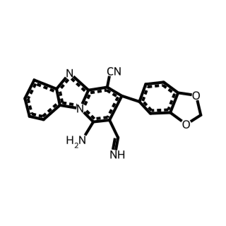 N#Cc1c(-c2ccc3c(c2)OCO3)c(C=N)c(N)n2c1nc1ccccc12